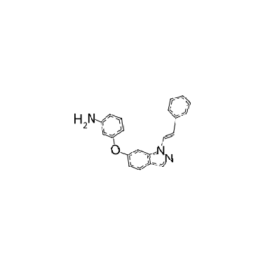 Nc1cccc(Oc2ccc3cnn(C=Cc4ccccc4)c3c2)c1